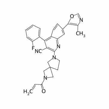 C=CC(=O)N1CC2(CCN(c3nc4cc(-c5ocnc5C)ccc4c(-c4ccccc4F)c3C#N)C2)C1